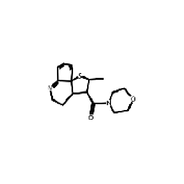 CC1SC23C=CC=CC2=NCCC3C1C(=O)N1CCOCC1